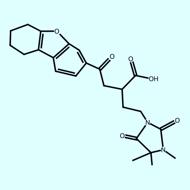 CN1C(=O)N(CCC(CC(=O)c2ccc3c4c(oc3c2)CCCC4)C(=O)O)C(=O)C1(C)C